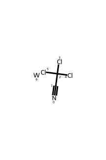 N#CC(Cl)(Cl)Cl.[W]